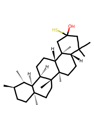 C[C@@H]1[C@H]2[C@H]3CC[C@@H]4[C@@]5(C)CC(O)(S)CC(C)(C)[C@@H]5CC[C@@]4(C)[C@]3(C)CC[C@@]2(C)CC[C@H]1C